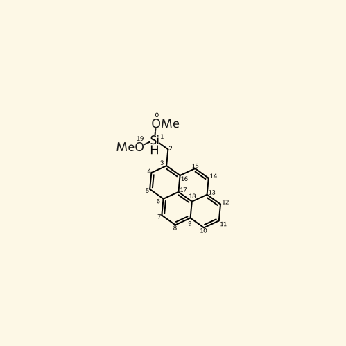 CO[SiH](Cc1ccc2ccc3cccc4ccc1c2c34)OC